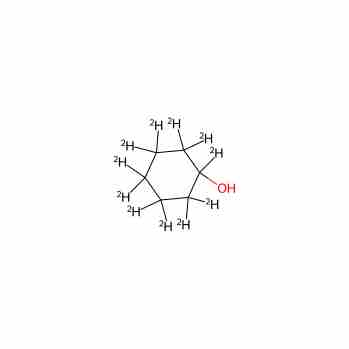 [2H]C1([2H])C([2H])([2H])C([2H])([2H])C([2H])(O)C([2H])([2H])C1([2H])[2H]